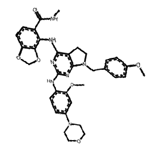 CNC(=O)c1ccc2c(c1Nc1nc(Nc3ccc(N4CCOCC4)cc3OC)nc3c1CCN3Cc1ccc(OC)cc1)OCO2